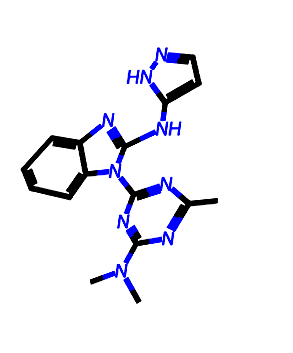 Cc1nc(N(C)C)nc(-n2c(Nc3ccn[nH]3)nc3ccccc32)n1